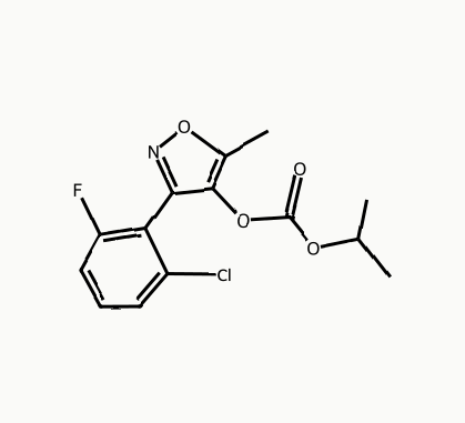 Cc1onc(-c2c(F)cccc2Cl)c1OC(=O)OC(C)C